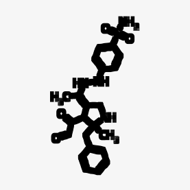 CC(NNc1ccc(S(N)(=O)=O)cc1)=C1CNC(C)(Cc2ccccc2)C1C(=O)C=O